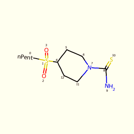 CCCCCS(=O)(=O)C1CCN(C(N)=S)CC1